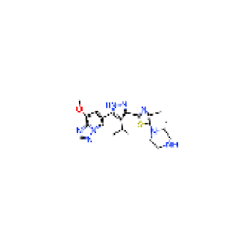 COc1cc(-c2[nH]nc(-c3nc(C)c(N4CCNC[C@H]4C)s3)c2C(C)C)cn2ncnc12